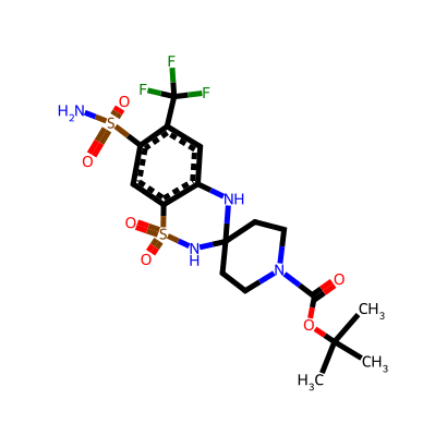 CC(C)(C)OC(=O)N1CCC2(CC1)Nc1cc(C(F)(F)F)c(S(N)(=O)=O)cc1S(=O)(=O)N2